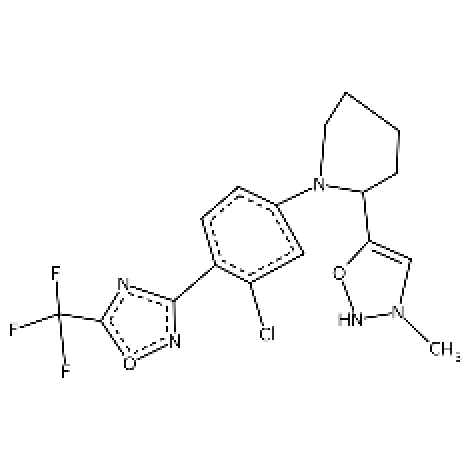 CN1C=C(C2CCCCN2c2ccc(-c3noc(C(F)(F)F)n3)c(Cl)c2)ON1